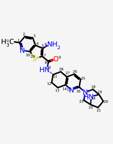 Cc1ccc2c(N)c(C(=O)N[C@H]3CCc4nc(N5CC6CCC(C5)N6)ccc4C3)sc2n1